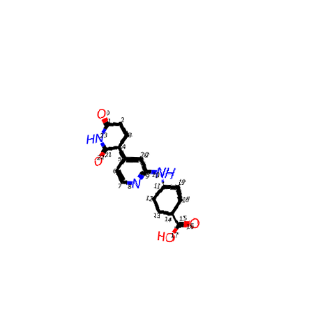 O=C1CCC(c2ccnc(N[C@H]3CC[C@H](C(=O)O)CC3)c2)C(=O)N1